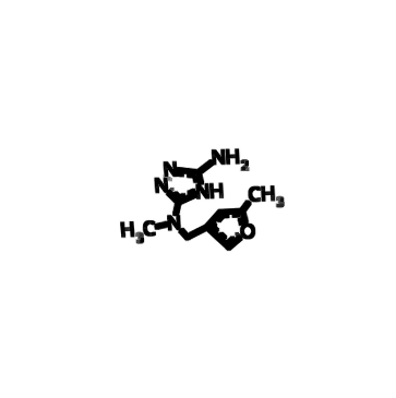 Cc1cc(CN(C)c2nnc(N)[nH]2)co1